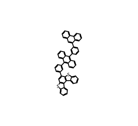 c1cc(-c2c3ccccc3c(-c3cccc(-c4cc5sc6ccccc6c5c5c4sc4ccccc45)c3)c3ccccc23)cc(-c2cc3ccccc3c3ccccc23)c1